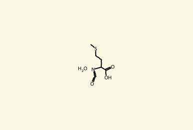 CSCCC(N=C=O)C(=O)O.O